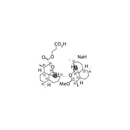 CO[C@H]1O[C@@H]2O[C@]3(C)CC[C@H]4[C@H](C)CC[C@@H]([C@H]1C)C24OO3.C[C@H]1[C@H](C(=O)OCCC(=O)O)O[C@@H]2O[C@]3(C)CC[C@H]4[C@H](C)CC[C@@H]1C24OO3.[NaH]